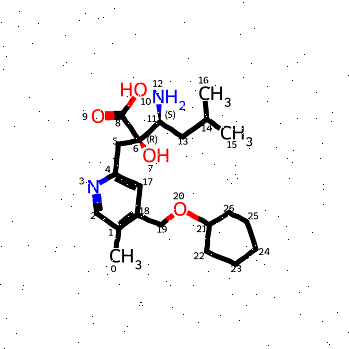 Cc1cnc(C[C@](O)(C(=O)O)[C@@H](N)CC(C)C)cc1COC1CCCCC1